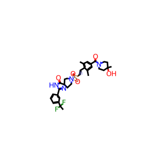 Cc1cc(C(=O)N2CCC(C)(O)CC2)cc(C)c1/C=C/S(=O)(=O)N1CCC2(CC1)N=C(c1cccc(C(C)(F)F)c1)NC2=O